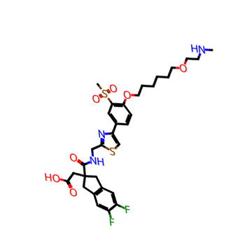 CNCCOCCCCCCOc1ccc(-c2csc(CNC(=O)C3(CC(=O)O)Cc4cc(F)c(F)cc4C3)n2)cc1S(C)(=O)=O